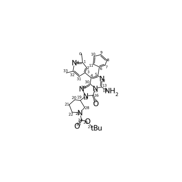 Cc1cc(-c2c(-c3ccccc3)nc(N)n3c(=O)n(C4CCCN(C(=O)OC(C)(C)C)C4)nc23)cc(C)n1